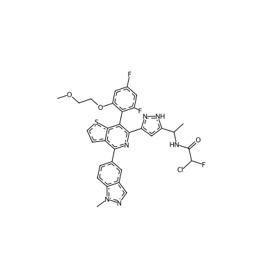 COCCOc1cc(F)cc(F)c1-c1c(-c2cc(C(C)NC(=O)C(F)Cl)[nH]n2)nc(-c2ccc3c(cnn3C)c2)c2ccsc12